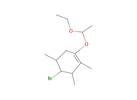 CCOC(C)OC1=C(C)C(C)C(Br)C(C)C1